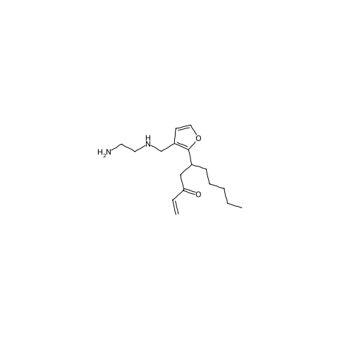 C=CC(=O)CC(CCCCC)c1occc1CNCCN